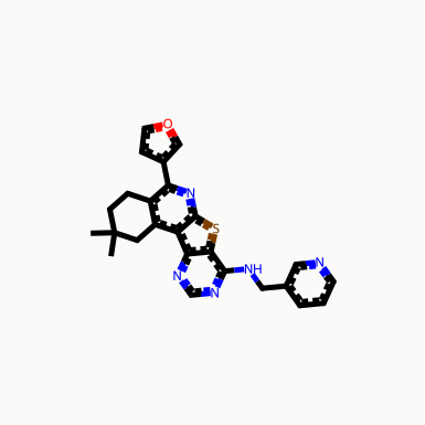 CC1(C)CCc2c(-c3ccoc3)nc3sc4c(NCc5cccnc5)ncnc4c3c2C1